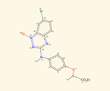 CCOC(=O)C(C)Oc1ccc(N(C)c2nc3ccc(Br)cc3[n+]([O-])n2)cc1